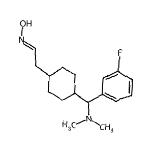 CN(C)C(c1cccc(F)c1)C1CCC(CC=NO)CC1